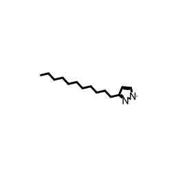 CCCCCCCCCCCC1=N[N]C=C1